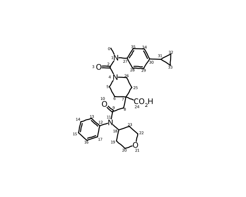 CN(C(=O)N1CCC(CC(=O)N(c2ccccc2)C2CCOCC2)(C(=O)O)CC1)c1ccc(C2CC2)cc1